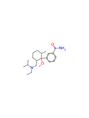 CCN(CC1CCCC(C)C1(OC)c1cccc(C(N)=O)c1)C(C)C